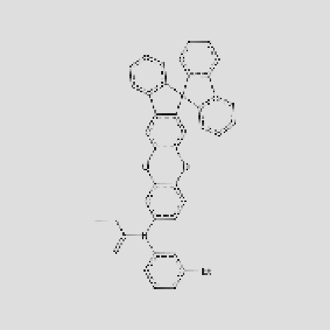 C=CC(=C)N(c1cccc(CC)c1)c1ccc2c(c1)Oc1cc3c(cc1O2)C1(c2ccccc2-c2ccccc21)c1ccccc1-3